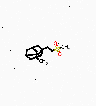 CC12CC3CC(C1)CC(CCS(C)(=O)=O)(C3)C2